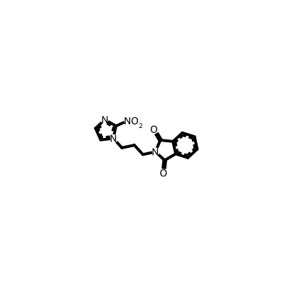 O=C1c2ccccc2C(=O)N1CCCn1ccnc1[N+](=O)[O-]